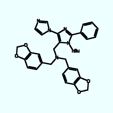 CCCCn1c(-c2ccccc2)nc(-n2ccnc2)c1CN(Cc1ccc2c(c1)OCO2)Cc1ccc2c(c1)OCO2